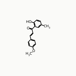 COc1ccc(C=CC(=O)c2cc(C)ccc2O)cc1